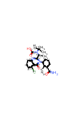 Cc1c(C(N)=O)cccc1-n1c([C@H](C)N(C(=O)O)C(C)(C)C)nc2cccc(Cl)c2c1=O